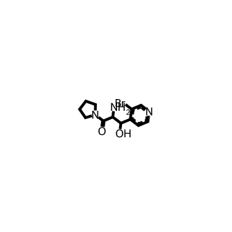 NC(C(=O)N1CCCC1)C(O)c1ccncc1Br